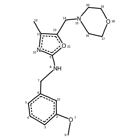 COc1cccc(CNc2nc(C)c(CN3CCOCC3)o2)c1